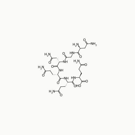 NC(=O)CC[C@H](NC(=O)[C@H](CCC(N)=O)NC(=O)[C@H](CCC(N)=O)NC(=O)[C@H](CC(N)=O)NC(=O)CNC(=O)[C@@H](N)CC(N)=O)C(=O)O